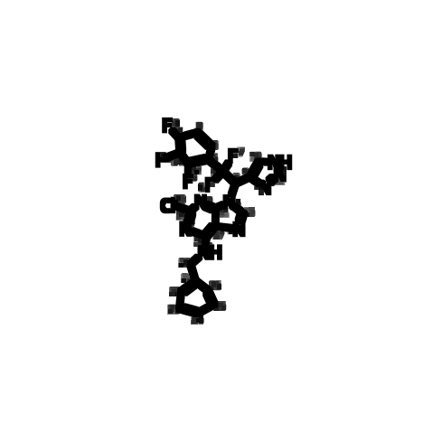 Fc1ccc(C(F)(F)C(c2c[nH]nn2)n2cnc3c(NCc4ccccc4)nc(Cl)nc32)c(F)c1F